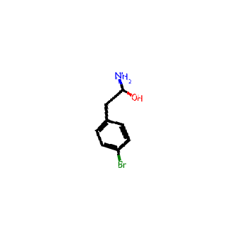 NC(O)Cc1ccc(Br)cc1